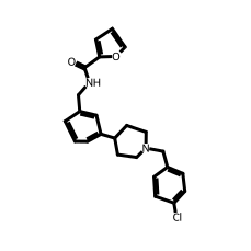 O=C(NCc1cccc(C2CCN(Cc3ccc(Cl)cc3)CC2)c1)c1ccco1